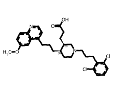 COc1ccc2nccc(CCC[C@@H]3CCN(CCCc4c(Cl)cccc4Cl)C[C@@H]3CCC(=O)O)c2c1